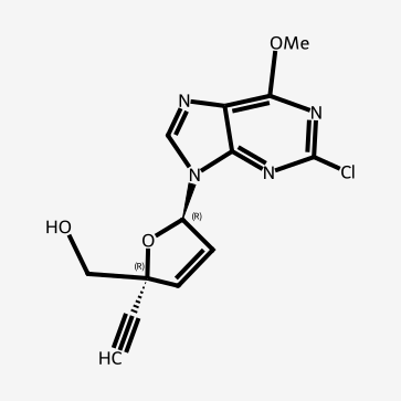 C#C[C@@]1(CO)C=C[C@H](n2cnc3c(OC)nc(Cl)nc32)O1